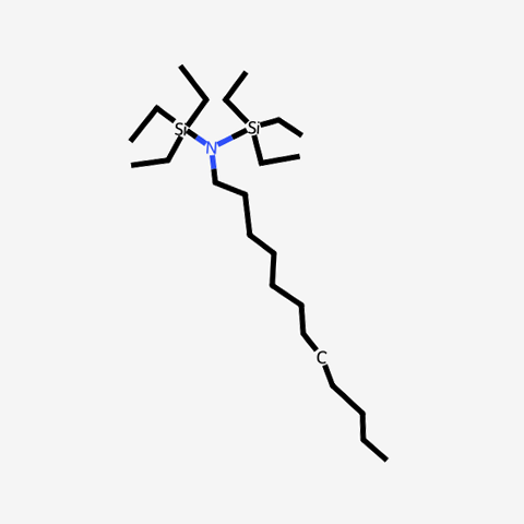 CCCCCCCCCCCCN([Si](CC)(CC)CC)[Si](CC)(CC)CC